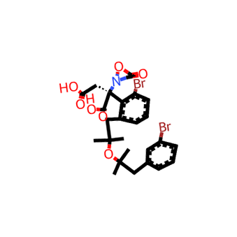 CC(C)(Cc1cccc(Br)c1)OC(C)(C)Cc1cccc(Br)c1[C@@](CC(=O)O)(C(=O)O)N1OC1=O